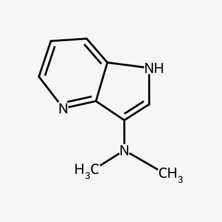 CN(C)c1c[nH]c2cccnc12